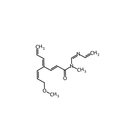 C=C/C=C(\C=C/COC)/C=C/C(=O)N(C)/C=N\C=C